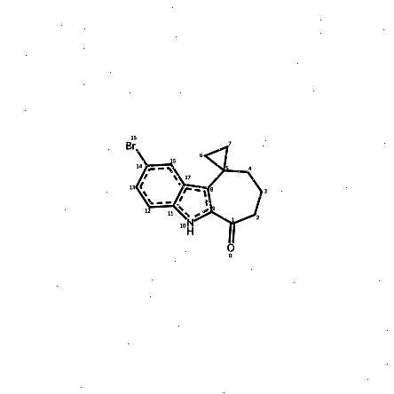 O=C1CCCC2(CC2)c2c1[nH]c1ccc(Br)cc21